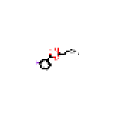 CCCC(=O)OC(=O)c1cccc(I)c1